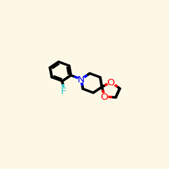 Fc1ccccc1N1CCC2(CC1)OCCO2